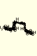 CC1(C)CCN(Cc2cc(F)c(N3CC(=O)NC4(CCN(c5cc(NCCCN6CC[C@@]7(CCN(CCCNc8ccc9c(c8)CN(C8CCC(=O)NC8=O)C9=O)C7)C6)ncn5)CC4)C3)cc2F)CC1